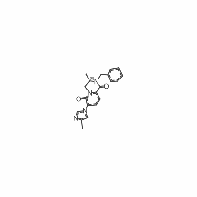 Cc1cn(-c2ccc3n(c2=O)C[C@@H](C)N(Cc2ccccc2)C3=O)cn1